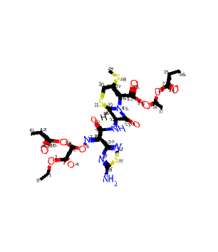 CCOC(=O)C(O/N=C(/C(=O)NC1C(=O)N2C(C(=O)OC(C)OC(=O)CC)=C(SC)CS[C@H]12)c1nsc(N)n1)OC(=O)CC